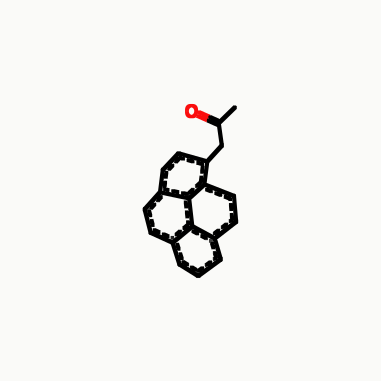 CC(=O)Cc1ccc2ccc3cccc4ccc1c2c34